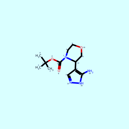 CC(C)(C)OC(=O)N1CCOCC1c1cn[nH]c1N